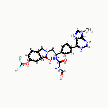 Cn1cnc2c(-c3ccc([C@H](CN4Cc5ccc(OC(F)F)cc5C4=O)NC(=O)NC=O)cc3)ncnc21